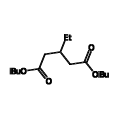 CCC(CC(=O)OCC(C)C)CC(=O)OCC(C)C